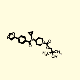 CC(C)(O)COC(=O)N1CCC(N(C(=O)c2ccc(-c3cnco3)cc2)C2CC2)CC1